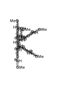 COCCCCCNC(=O)CCOCCOCCNC(=O)CCC(CC(=O)NC(CCC(=O)NCCOCCOCC(=O)NCCCCCOC)CC(=O)NC(CCC(=O)NCCOCCOCC(=O)NCCCCCOC)CC(=O)NCCCCC(CO)COC)NC(=O)CNC(=O)COCCOCCC(=O)NCCCCCOC